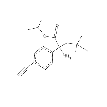 C#Cc1ccc(C(N)(CC(C)(C)C)C(=O)OC(C)C)cc1